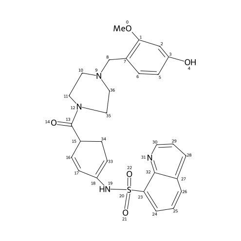 COc1cc(O)ccc1CN1CCN(C(=O)C2C=CC(NS(=O)(=O)c3cccc4cccnc34)=CC2)CC1